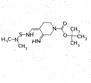 CN(C)SN/C=C1/CCN(C(=O)OC(C)(C)C)CC1=N